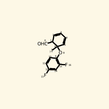 O=CC1C=CC=CC1(I)Oc1ccc(F)cc1F